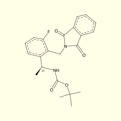 C[C@H](NC(=O)OC(C)(C)C)c1cccc(F)c1CN1C(=O)c2ccccc2C1=O